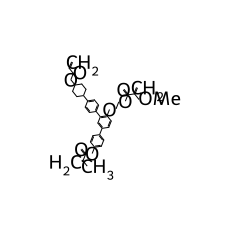 C=CC(=O)OC1CCC(c2ccc(-c3cc(-c4ccc(OC(=O)C(=C)C)cc4)ccc3OCCOC(=O)C(=C)COC)cc2)CC1